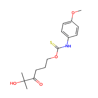 COc1ccc(NC(=S)OCCCC(=O)C(C)(C)O)cc1